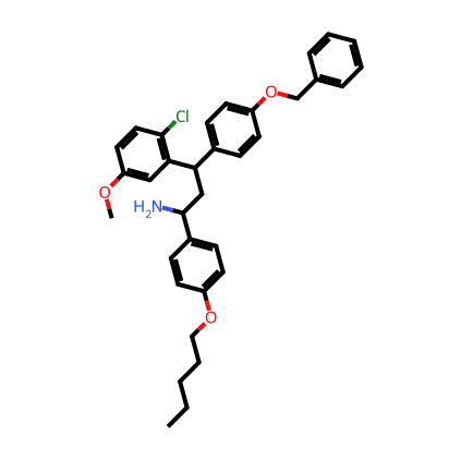 CCCCCOc1ccc(C(N)CC(c2ccc(OCc3ccccc3)cc2)c2cc(OC)ccc2Cl)cc1